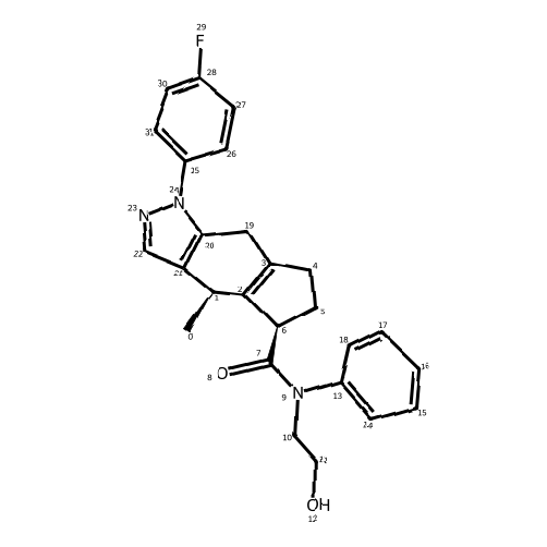 C[C@@H]1C2=C(CC[C@H]2C(=O)N(CCO)c2ccccc2)Cc2c1cnn2-c1ccc(F)cc1